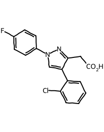 O=C(O)Cc1nn(-c2ccc(F)cc2)cc1-c1ccccc1Cl